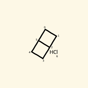 C1CC2CCC12.Cl